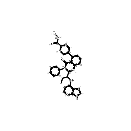 CCC(Nc1ncnc2[nH]cnc12)c1nc2cccc(-c3cnc(C(=O)NO)nc3)c2c(=O)n1-c1ccccc1